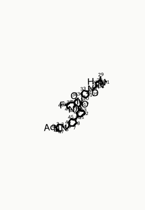 CC(=O)N1CCN(Cc2ccc(-c3cccc(-n4c(=O)n(C5CCC(NC(=O)c6cc(C)n(C)n6)CC5)c(=O)c5cc(F)cnc54)c3)cc2)CC1